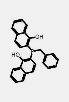 Oc1c(P(Cc2ccccc2)c2ccc3ccccc3c2O)ccc2ccccc12